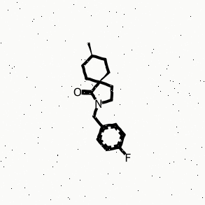 C[C@H]1CC[C@]2(CCN(Cc3ccc(F)cc3)C2=O)CC1